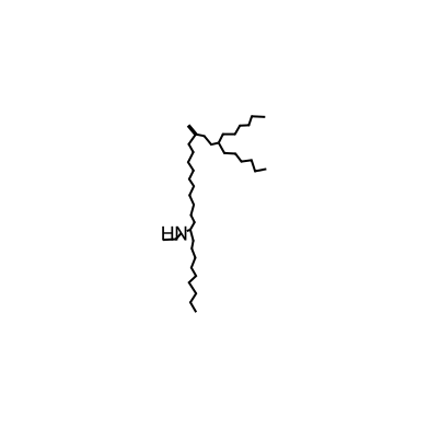 C=C(CCCCCCCCCCC(CCCCCCCCC)NCC)CCC(CCCCCC)CCCCCC